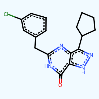 O=c1[nH]c(Cc2cccc(Cl)c2)nc2c(C3CCCC3)n[nH]c12